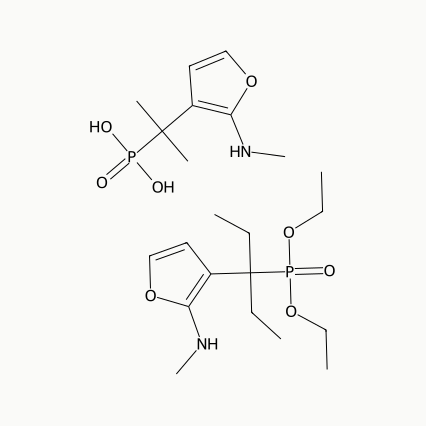 CCOP(=O)(OCC)C(CC)(CC)c1ccoc1NC.CNc1occc1C(C)(C)P(=O)(O)O